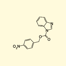 O=C(OCc1ccc([N+](=O)[O-])cc1)n1cnc2ccccc21